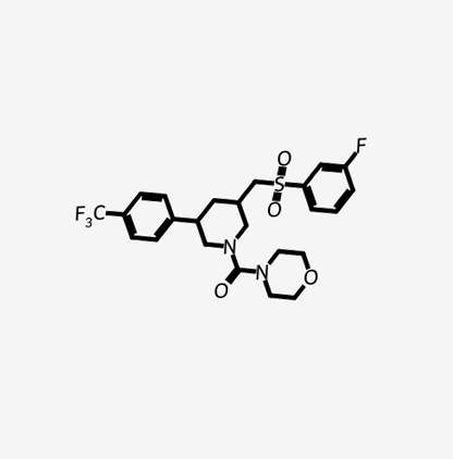 O=C(N1CCOCC1)N1CC(CS(=O)(=O)c2cccc(F)c2)CC(c2ccc(C(F)(F)F)cc2)C1